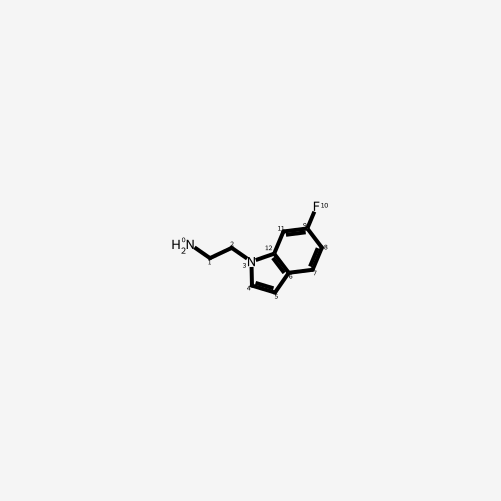 NCCn1ccc2ccc(F)cc21